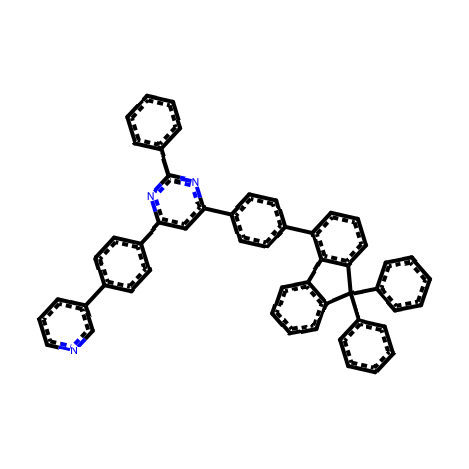 c1ccc(-c2nc(-c3ccc(-c4cccnc4)cc3)cc(-c3ccc(-c4cccc5c4-c4ccccc4C5(c4ccccc4)c4ccccc4)cc3)n2)cc1